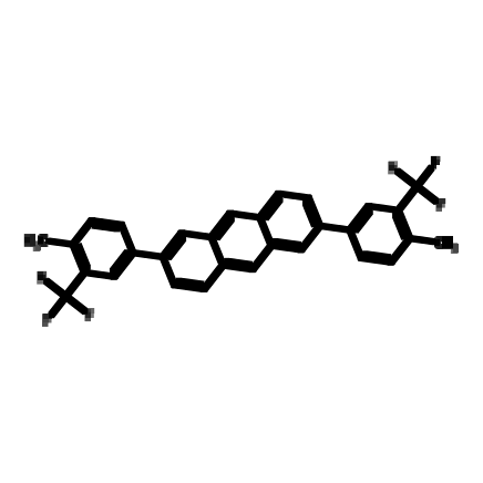 Cc1ccc(-c2ccc3cc4cc(-c5ccc(C)c(C(F)(F)F)c5)ccc4cc3c2)cc1C(F)(F)F